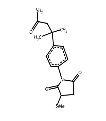 CSC1CC(=O)N(c2ccc(C(C)(C)CC(N)=O)cc2)C1=O